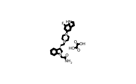 NC(=O)CN1C[C@@H](CCN2CCN(c3cc(F)c4[nH]ccc4c3)CC2)c2ccccc21.O=C(O)C(=O)O